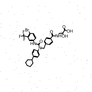 O=C(NC[C@@H](O)C(=O)O)c1ccc(CN(C(=O)Nc2ccc(Br)c(C(F)(F)F)c2)c2ccc(C3CCCCC3)cc2)cc1